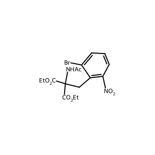 CCOC(=O)C(Cc1c(Br)cccc1[N+](=O)[O-])(NC(C)=O)C(=O)OCC